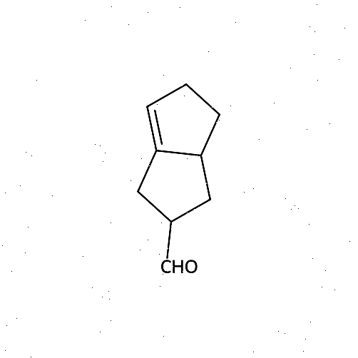 O=CC1CC2=CCCC2C1